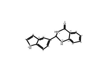 O=C1NC(c2ccc3[nH]ccc3c2)Nc2ccccc21